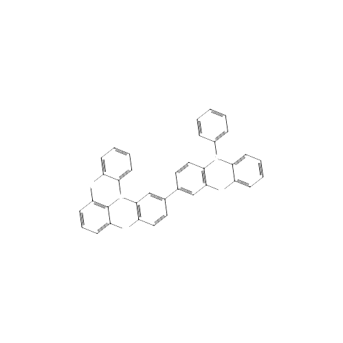 c1ccc(N2c3ccccc3Sc3cc(-c4ccc5c(c4)B4c6ccccc6Oc6cccc(c64)O5)ccc32)cc1